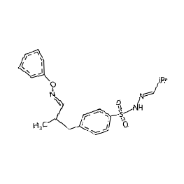 CC(C)/C=N/NS(=O)(=O)c1ccc(CC(C)/C=N/Oc2ccccc2)cc1